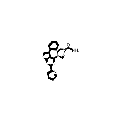 NC(=O)N1CCN(c2nc(-c3ccccn3)nc3scc(-c4ccccc4)c23)CC1